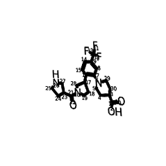 O=C(O)C1CCN(c2cc(C(F)(F)F)ccc2C2CCN(C(=O)C3CCNC3)C2)CC1